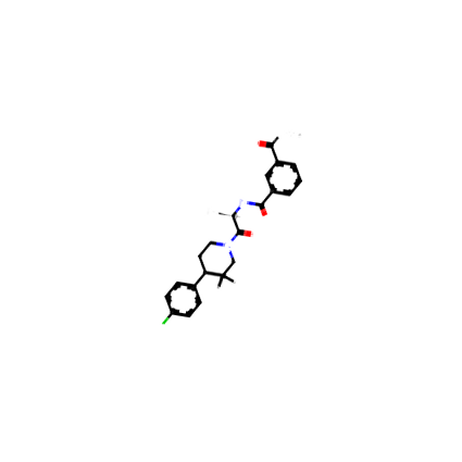 COC(=O)c1cccc(C(=O)N[C@@H](C(=O)N2CCC(c3ccc(Cl)cc3)C(C)(C)C2)C(C)C)c1